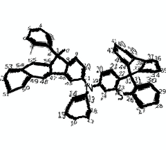 CC1(c2ccccc2)c2ccc(N(C3=CCCC=C3)c3ccc4c(c3)Sc3ccccc3C43c4ccccc4-c4ccccc43)cc2-c2cc3ccccc3cc21